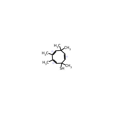 CC1=C/C(C)(C)/C=C\C(C)(S)/C=C\1C